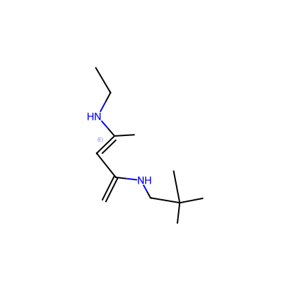 C=C(/C=C(\C)NCC)NCC(C)(C)C